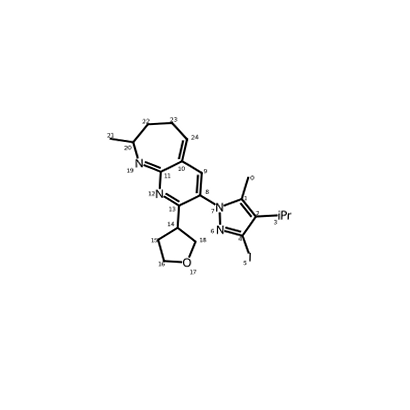 Cc1c(C(C)C)c(I)nn1-c1cc2c(nc1C1CCOC1)=NC(C)CCC=2